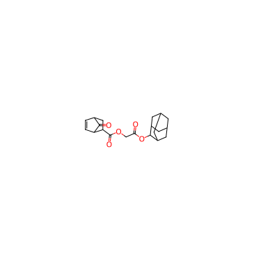 O=C(COC(=O)C1CC2C=CC1C2=O)OC1C2CC3CC(C2)CC1C3